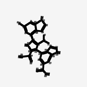 CC(C)c1c(-c2cc(F)cc3[nH]ccc23)[nH]c(C(=O)O)c1-c1cc(C(=O)O)cc2[nH]ccc12